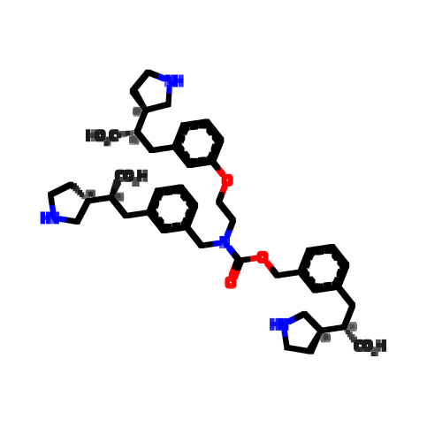 O=C(O)[C@@H](Cc1cccc(COC(=O)N(CCOc2cccc(C[C@H](C(=O)O)[C@H]3CCNC3)c2)Cc2cccc(C[C@H](C(=O)O)[C@H]3CCNC3)c2)c1)[C@H]1CCNC1